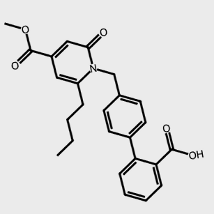 CCCCc1cc(C(=O)OC)cc(=O)n1Cc1ccc(-c2ccccc2C(=O)O)cc1